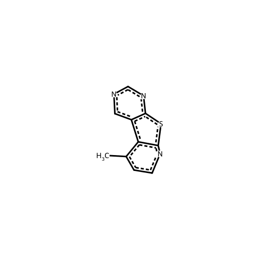 Cc1ccnc2sc3ncncc3c12